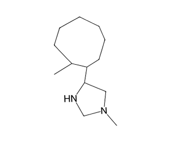 CC1CCCCCCC1C1CN(C)CN1